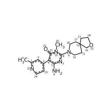 Cc1cc(-c2c(N)nc(N3CCC4(CCOC4)CC3)n(C)c2=O)ccn1